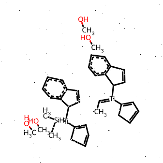 CO.CO.CO.CO.C[CH]=[Ti]([C]1=CC=CC1)[CH]1C=Cc2ccccc21.C[SiH](C)[Ti]([C]1=CC=CC1)[CH]1C=Cc2ccccc21